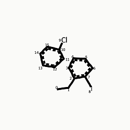 CCc1ccccc1I.Clc1ccccc1